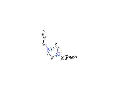 C=CCN1CCN(CCCCC)CC1